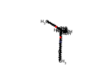 CCCCCCCCCCCCCC[C@@H](O)[C@@H](O)[C@H](CC[C@H]1O[C@H](CO)[C@H](O)[C@H](O)[C@H]1O)NC(=O)CCCCCCCC/C=C/CCCCCCCCOCCCCCCCCC